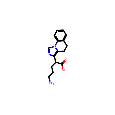 NCCCC(C(=O)O)c1ncn2c1CCc1ccccc1-2